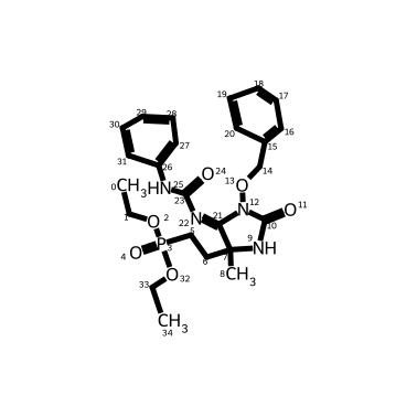 CCOP(=O)(CCC1(C)NC(=O)N(OCc2ccccc2)C1=NC(=O)Nc1ccccc1)OCC